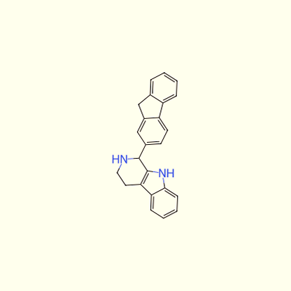 c1ccc2c(c1)Cc1cc(C3NCCc4c3[nH]c3ccccc43)ccc1-2